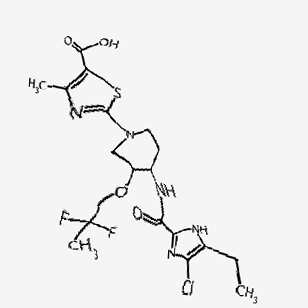 CCc1[nH]c(C(=O)NC2CCN(c3nc(C)c(C(=O)O)s3)CC2OCC(C)(F)F)nc1Cl